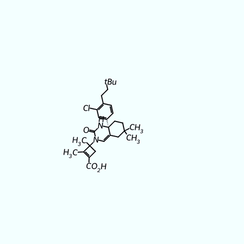 CC1=C(C(=O)O)CC1(C)N1C=C2CC(C)(C)CC[C@]2(c2ccc(CCC(C)(C)C)c(Cl)c2)NC1=O